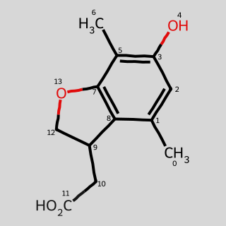 Cc1cc(O)c(C)c2c1C(CC(=O)O)CO2